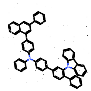 c1ccc(-c2cc(-c3ccc(N(c4ccccc4)c4ccc(-c5ccc(-c6ccccc6)c(-n6c7ccccc7c7ccccc76)c5)cc4)cc3)c3ccccc3c2)cc1